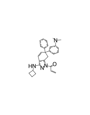 C=CC(=O)n1nc(NC2CCC2)c2c1CC(c1ccccc1)(c1cccc(N(C)C)c1)C=C2